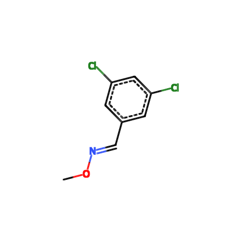 CON=Cc1cc(Cl)cc(Cl)c1